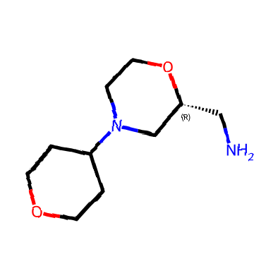 NC[C@@H]1CN(C2CCOCC2)CCO1